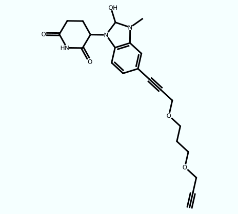 C#CCOCCCOCC#Cc1ccc2c(c1)N(C)C(O)N2C1CCC(=O)NC1=O